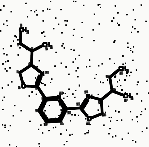 CCC(C)C1COC(c2cccc(C3=NC(C(C)CC)CO3)n2)=N1